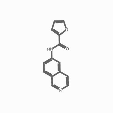 O=C(Nc1ccc2cnccc2c1)c1ccco1